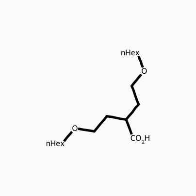 CCCCCCOCCC(CCOCCCCCC)C(=O)O